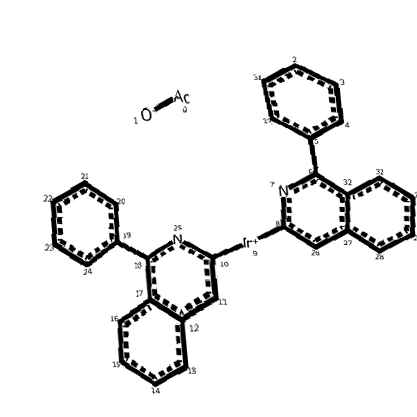 CC(=O)[O-].c1ccc(-c2n[c]([Ir+][c]3cc4ccccc4c(-c4ccccc4)n3)cc3ccccc23)cc1